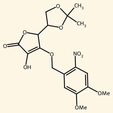 COc1cc(COC2=C(O)C(=O)OC2C2COC(C)(C)O2)c([N+](=O)[O-])cc1OC